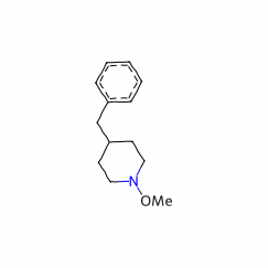 CON1CCC(Cc2ccccc2)CC1